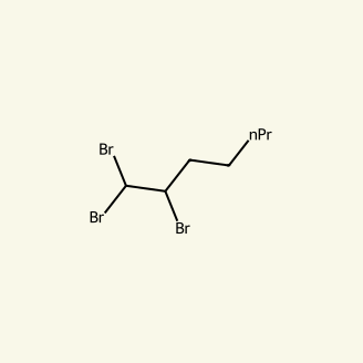 CCCCCC(Br)C(Br)Br